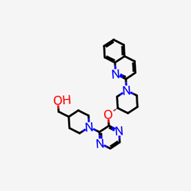 OCC1CCN(c2nccnc2O[C@H]2CCCN(c3ccc4ccccc4n3)C2)CC1